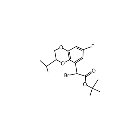 CC(C)C1COc2cc(F)cc(C(Br)C(=O)OC(C)(C)C)c2O1